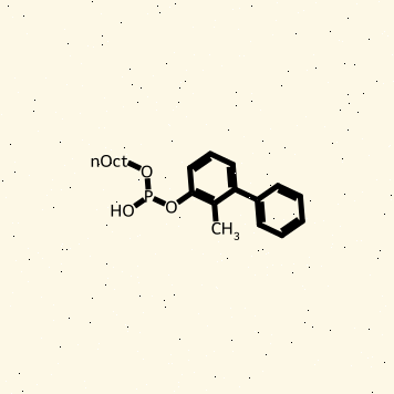 CCCCCCCCOP(O)Oc1cccc(-c2ccccc2)c1C